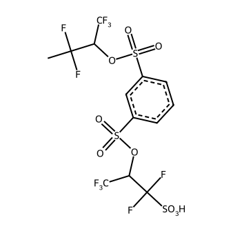 CC(F)(F)C(OS(=O)(=O)c1cccc(S(=O)(=O)OC(C(F)(F)F)C(F)(F)S(=O)(=O)O)c1)C(F)(F)F